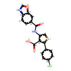 O=C(Nc1csc(-c2ccc(Cl)cc2)c1C(=O)O)c1ccc2ncoc2c1